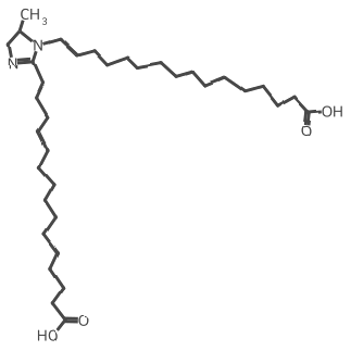 CC1CN=C(CCCCCCCCCCCCCCC(=O)O)N1CCCCCCCCCCCCCCCC(=O)O